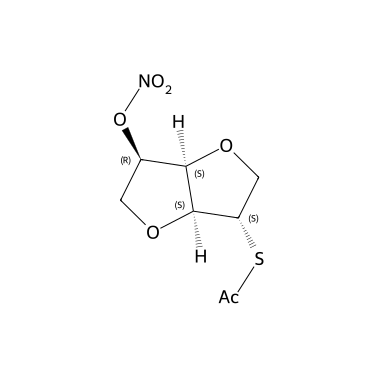 CC(=O)S[C@H]1CO[C@H]2[C@@H]1OC[C@H]2O[N+](=O)[O-]